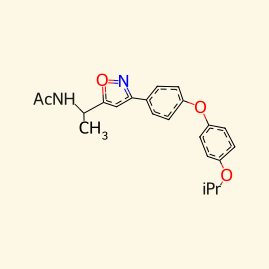 CC(=O)NC(C)c1cc(-c2ccc(Oc3ccc(OC(C)C)cc3)cc2)no1